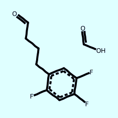 O=CCCCc1cc(F)c(F)cc1F.O=CO